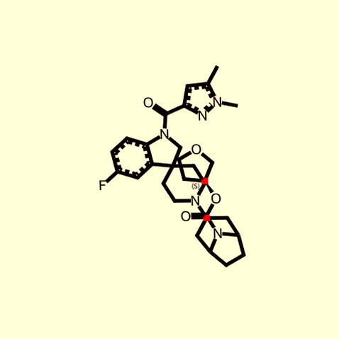 Cc1cc(C(=O)N2CC3(CCN(C4CC5CCC(C4)N5C(=O)O[C@H]4CCOC4)CC3)c3cc(F)ccc32)nn1C